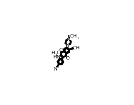 C#Cc1cc2c(cc1N1CCN(SC)CC1)C(C)(C)c1[nH]c3cc(C#N)ccc3c1C2=O